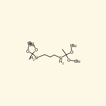 CC(C)(C)OC(C)(OC(C)(C)C)[SiH2]CCC[SiH2]C(C)(OC(C)(C)C)OC(C)(C)C